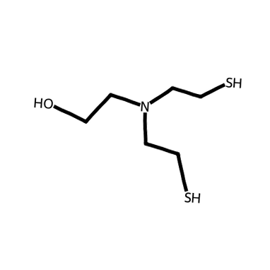 OCCN(CCS)CCS